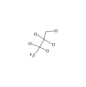 FC(F)(F)C(Cl)(Cl)C(Cl)(Cl)CCl